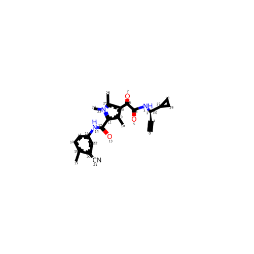 C#C[C@@H](NC(=O)C(=O)c1c(C)c(C(=O)Nc2ccc(C)c(C#N)c2)n(C)c1C)C1CC1